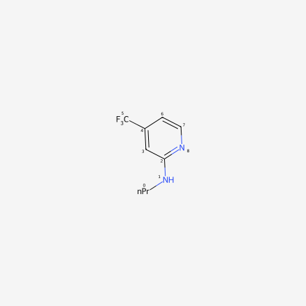 CCCNc1cc(C(F)(F)F)ccn1